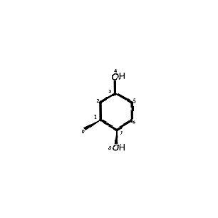 C[C@H]1CC(O)CC[C@H]1O